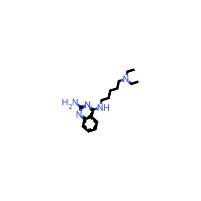 CCN(CC)CCCCCNc1nc(N)nc2ccccc12